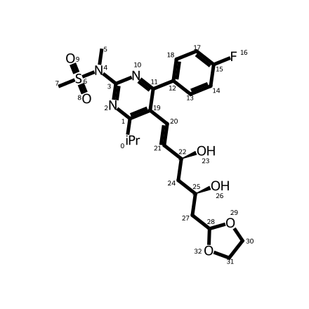 CC(C)c1nc(N(C)S(C)(=O)=O)nc(-c2ccc(F)cc2)c1/C=C/[C@@H](O)C[C@@H](O)CC1OCCO1